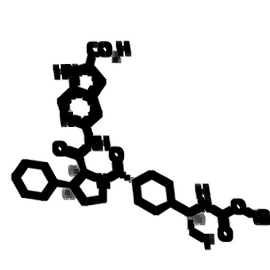 CC(C)(C)OC(=O)N[C@H](CF)[C@H]1CC[C@H](C(=O)N2CC[C@@H](C3CCCCC3)[C@H]2C(=O)Nc2cc3cc(C(=O)O)[nH]c3cn2)CC1